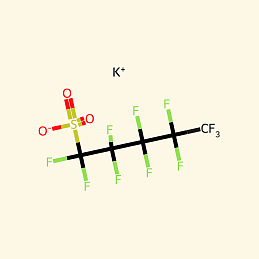 O=S(=O)([O-])C(F)(F)C(F)(F)C(F)(F)C(F)(F)C(F)(F)F.[K+]